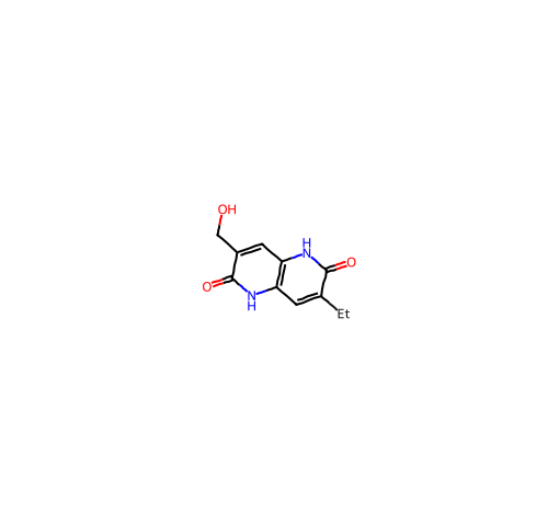 CCc1cc2[nH]c(=O)c(CO)cc2[nH]c1=O